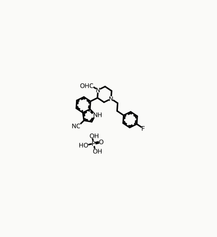 N#Cc1c[nH]c2c(C3CN(CCc4ccc(F)cc4)CCN3C=O)cccc12.O=P(O)(O)O